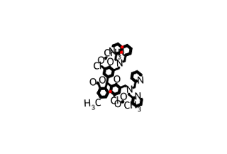 CC(=O)Oc1c(Cl)cc2c(c1CN(Cc1ccccn1)Cc1ccccn1)Oc1c(cc(Cl)c(OC(C)=O)c1CN(Cc1ccccn1)Cc1ccccn1)C21OC(=O)c2cc(C)ccc21